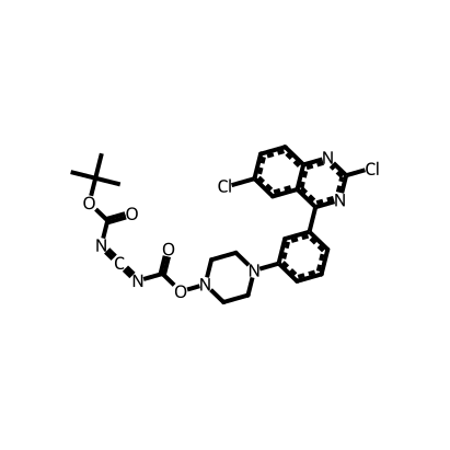 CC(C)(C)OC(=O)N=C=NC(=O)ON1CCN(c2cccc(-c3nc(Cl)nc4ccc(Cl)cc34)c2)CC1